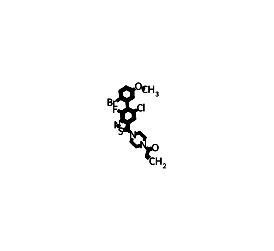 C=CC(=O)N1CCN(c2snc3c(F)c(-c4cc(OC)ccc4Br)c(Cl)cc23)CC1